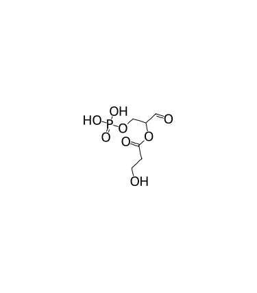 O=CC(COP(=O)(O)O)OC(=O)CCO